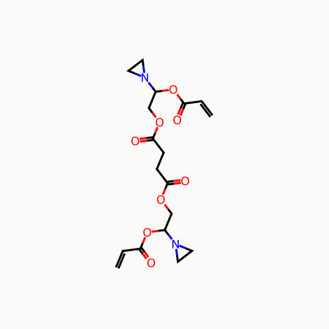 C=CC(=O)OC(COC(=O)CCC(=O)OCC(OC(=O)C=C)N1CC1)N1CC1